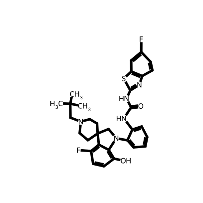 CC(C)(C)CN1CCC2(CC1)CN(c1ccccc1NC(=O)Nc1nc3ccc(F)cc3s1)c1c(O)ccc(F)c12